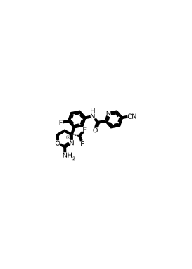 N#Cc1ccc(C(=O)Nc2ccc(F)c([C@]3(C(F)F)CCOC(N)=N3)c2)nc1